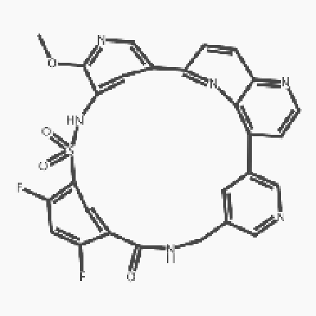 COc1ncc2cc1NS(=O)(=O)c1cc(c(F)cc1F)C(=O)NCc1cncc(c1)-c1ccnc3ccc-2nc13